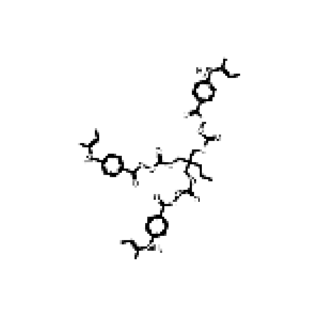 CC=C(C)[SiH2]c1ccc(C(=O)OOC(=O)OCC(CCC)(COC(=O)OOC(=O)c2ccc([SiH2]C(C)=CC)cc2)COC(=O)OOC(=O)c2ccc([SiH2]C(C)=CC)cc2)cc1